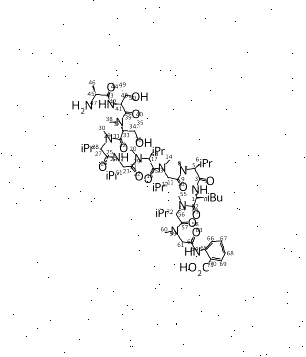 CC[C@H](C)[C@H](NC(=O)[C@H](C(C)C)N(C)C(=O)[C@H](C(C)C)N(C)C(=O)[C@H](C(C)C)N(C)C(=O)[C@@H](NC(=O)[C@H](C(C)C)N(C)C(=O)[C@H]([C@H](C)O)N(C)C(=O)[C@@H](NC(=O)[C@H](C)N)[C@H](C)O)C(C)C)C(=O)N(C)[C@H](C(=O)N(C)CC(=O)Nc1ccccc1C(=O)O)C(C)C